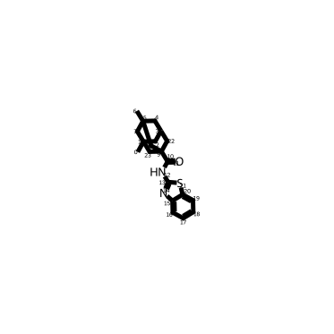 CC12CC3CC(C)(C1)CC(C(=O)Nc1nc4ccccc4s1)(C3)C2